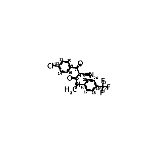 CN(C(=O)C(C#N)C(=O)c1ccc(Cl)cc1)c1ccc(C(F)(F)F)cc1